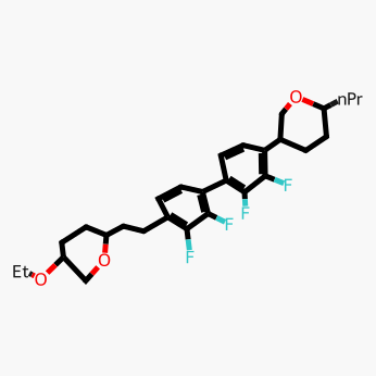 CCCC1CCC(c2ccc(-c3ccc(CCC4CCC(OCC)CO4)c(F)c3F)c(F)c2F)CO1